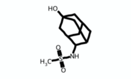 CS(=O)(=O)NC1C2CC3CC1CC(O)(C3)C2